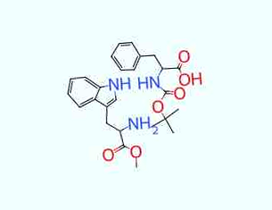 CC(C)(C)OC(=O)NC(Cc1ccccc1)C(=O)O.COC(=O)C(N)Cc1c[nH]c2ccccc12